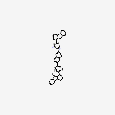 C=C(/N=C\C(=C/C)c1ccc2cc(-c3cnc(C4=CCCc5c4n(C)c4ccccc54)nc3)ccc2c1)c1cccc2c1Cc1ccccc1-2